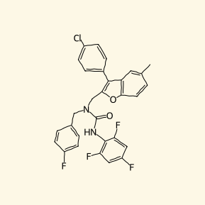 Cc1ccc2oc(CN(Cc3ccc(F)cc3)C(=O)Nc3c(F)cc(F)cc3F)c(-c3ccc(Cl)cc3)c2c1